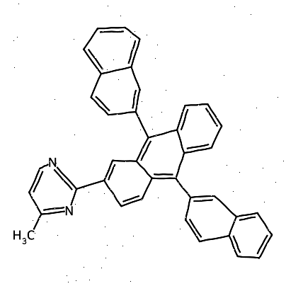 Cc1ccnc(-c2ccc3c(-c4ccc5ccccc5c4)c4ccccc4c(-c4ccc5ccccc5c4)c3c2)n1